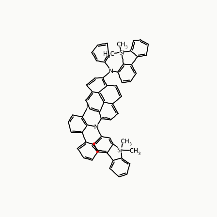 C[Si]1(C)c2ccccc2-c2ccc(N(c3c(F)cccc3-c3ccccc3)c3ccc4ccc5c(N(c6ccccc6)c6cccc7c6[Si](C)(C)c6ccccc6-7)ccc6ccc3c4c65)cc21